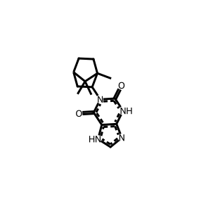 CC1(C)C2CCC1(C)C(n1c(=O)[nH]c3nc[nH]c3c1=O)C2